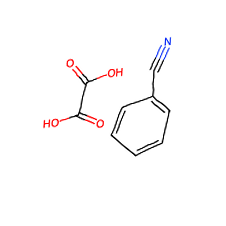 N#Cc1ccccc1.O=C(O)C(=O)O